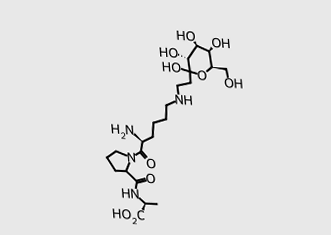 C[C@H](NC(=O)C1CCCN1C(=O)[C@@H](N)CCCCNCCC1(O)O[C@H](CO)[C@H](O)[C@H](O)[C@H]1O)C(=O)O